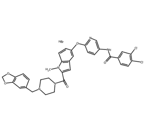 Br.Cn1c(C(=O)N2CCN(Cc3ccc4c(c3)OCO4)CC2)cc2cc(Oc3ccc(NC(=O)c4ccc(Cl)c(Cl)c4)cn3)ccc21